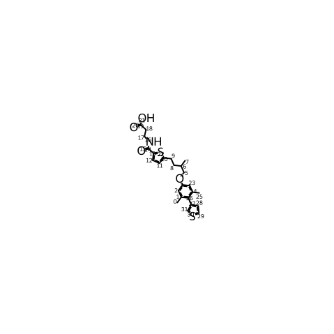 Cc1cc(OCC(C)CCc2ccc(C(=O)NCCC(=O)O)s2)cc(C)c1-c1ccsc1